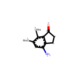 COc1cc(N)c2c(c1OC)C(=O)CC2